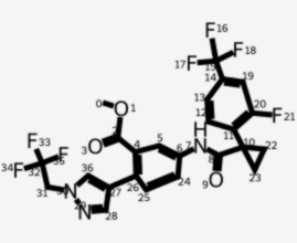 COC(=O)c1cc(NC(=O)C2(c3ccc(C(F)(F)F)cc3F)CC2)ccc1-c1cnn(CC(F)(F)F)c1